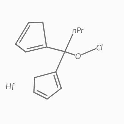 CCCC(OCl)(C1=CC=CC1)C1=CC=CC1.[Hf]